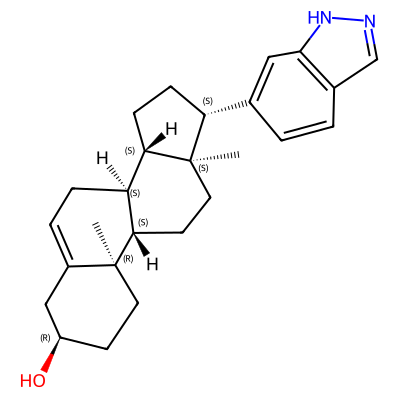 C[C@]12CC[C@H]3[C@@H](CC=C4C[C@H](O)CC[C@@]43C)[C@@H]1CC[C@@H]2c1ccc2cn[nH]c2c1